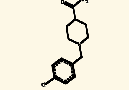 NC(=O)C1CCN(Cc2ccc(Cl)cc2)CC1